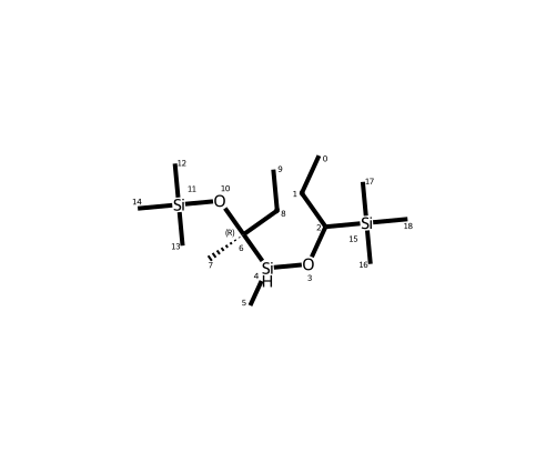 CCC(O[SiH](C)[C@](C)(CC)O[Si](C)(C)C)[Si](C)(C)C